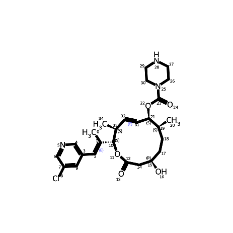 C/C(=C\c1cncc(Cl)c1)[C@H]1OC(=O)C[C@H](O)CC[C@H](C)[C@H](OC(=O)N2CCNCC2)/C=C/[C@@H]1C